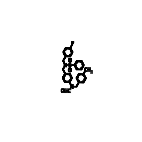 Cc1ccc(CN(C=O)c2ccc(CN(Cc3ccc(F)cc3)S(=O)(=O)c3ccccc3)cc2)cc1